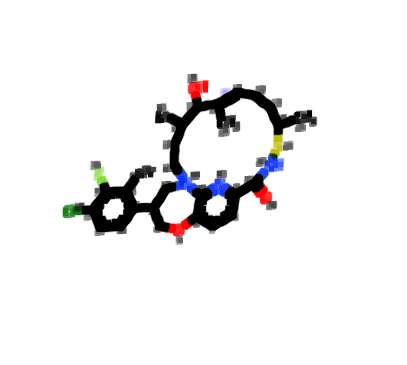 CCCc1c(C2COc3ccc4nc3N(CCC(CC)C(O)/C(C)=C/CCC(C)SNC4=O)C2)ccc(Cl)c1F